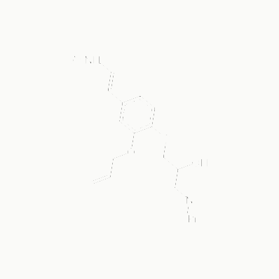 C=CCOc1cc(/C=C/NC(C)=O)ccc1OCC(O)CNC(C)C